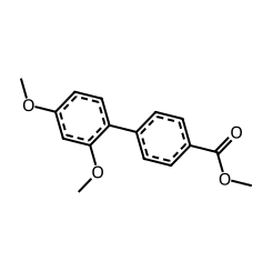 COC(=O)c1ccc(-c2ccc(OC)cc2OC)cc1